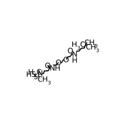 C[C@H](SS)N(C)CCCC(=O)NCCOCCOCCC(=O)NCCCCC(C)(C)C